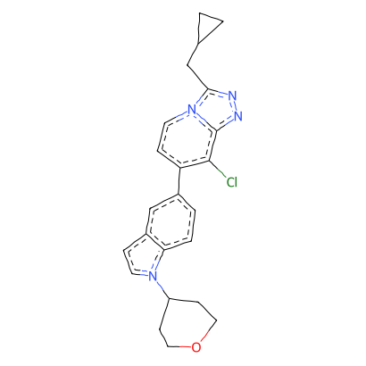 Clc1c(-c2ccc3c(ccn3C3CCOCC3)c2)ccn2c(CC3CC3)nnc12